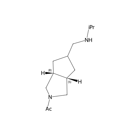 CC(=O)N1C[C@H]2CC(CNC(C)C)C[C@H]2C1